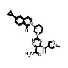 Cn1cc(Nc2nc(N3CCC[C@H](n4ccc5cc(C6CC6)ccc5c4=O)C3)nnc2C(N)=O)cn1